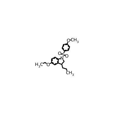 CCCC1CN(S(=O)(=O)c2ccc(OC)cc2)c2ccc(OCC)cc21